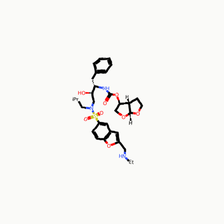 CCNCc1cc2cc(S(=O)(=O)N(CC(C)C)C[C@@H](O)[C@H](Cc3ccccc3)NC(=O)OC3CO[C@H]4OCC[C@@H]34)ccc2o1